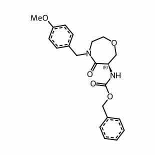 COc1ccc(CN2CCOC[C@@H](NC(=O)OCc3ccccc3)C2=O)cc1